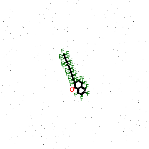 O=C1c2c(F)c(F)c(F)c(F)c2C(F)(F)C(F)(F)C1(F)C(F)(F)C(F)(F)C(F)(F)C(F)(F)C(F)(F)C(F)(F)C(F)(F)C(F)(F)F